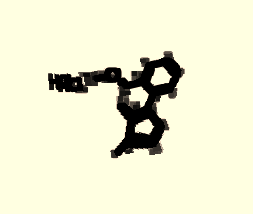 CC1=CCC(c2ccccc2C[O][Ti])=C1C.Cl.Cl